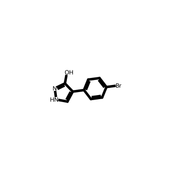 Oc1n[nH]cc1-c1ccc(Br)cc1